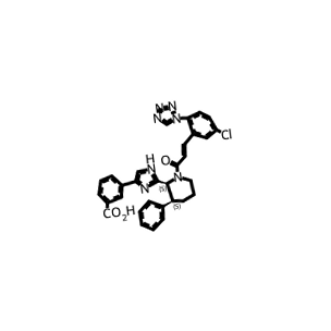 O=C(O)c1cccc(-c2c[nH]c([C@@H]3[C@H](c4ccccc4)CCCN3C(=O)C=Cc3cc(Cl)ccc3-n3cnnn3)n2)c1